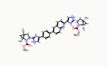 CC(C)(C)OC(=O)N1[C@@H]2C[C@@H]2C[C@H]1c1nc(-c2ccc(-c3ccc4nc(-c5c[nH]c([C@@H]6C[C@H]7C[C@H]7N6C(=O)OC(C)(C)C)n5)ccc4c3)cc2)c[nH]1